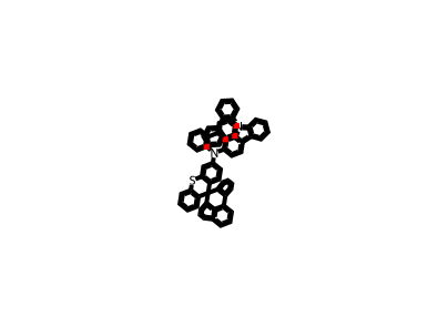 c1ccc(-c2ccccc2N(c2ccc3c(c2)Sc2ccccc2C32c3ccccc3-c3cccc4cccc2c34)c2ccc3c4ccccc4n(-c4ccccc4-c4ccccc4)c3c2)cc1